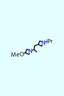 COC1CN(C(C)CC2CN(C(C)C)C2)C1